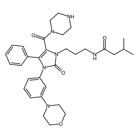 CC(C)CC(=O)NCCCn1c(C(=O)N2CCNCC2)c(-c2ccccc2)n(-c2cccc(N3CCOCC3)c2)c1=O